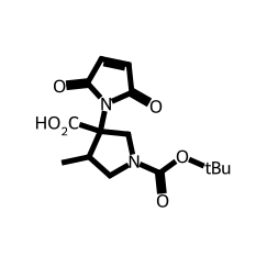 CC1CN(C(=O)OC(C)(C)C)CC1(C(=O)O)N1C(=O)C=CC1=O